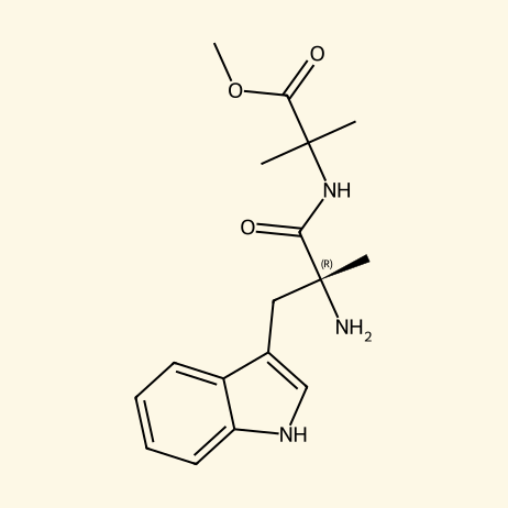 COC(=O)C(C)(C)NC(=O)[C@](C)(N)Cc1c[nH]c2ccccc12